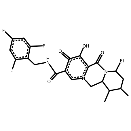 CCC1CC(C)C(C)C2Cn3cc(C(=O)NCc4c(F)cc(F)cc4F)c(=O)c(O)c3C(=O)N12